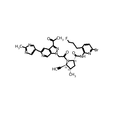 C#C[C@@H]1[C@@H](C)C[C@@H](C(=O)Nc2nc(Br)ccc2CCCF)N1C(=O)Cn1nc(C(C)=O)c2cc(-c3cnc(C)nc3)ncc21